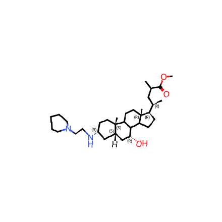 COC(=O)C(C)C[C@@H](C)[C@H]1CCC2C3C(CC[C@@]21C)[C@@]1(C)CC[C@@H](NCCN2CCCCC2)C[C@H]1C[C@H]3O